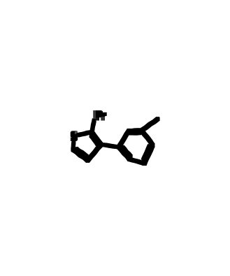 Cc1cccc(-c2ccsc2C(C)C)c1